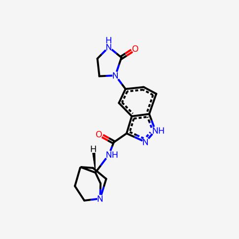 O=C(N[C@@H]1CN2CCC1CC2)c1n[nH]c2ccc(N3CCNC3=O)cc12